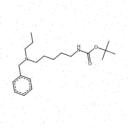 CCCN(CCCCCNC(=O)OC(C)(C)C)Cc1ccccc1